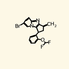 C=C1CC(c2ccccc2OC(F)F)c2c1nc1ccc(Br)cn21